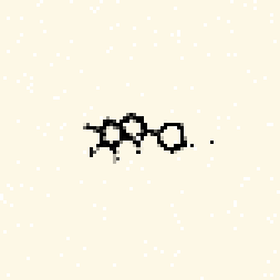 CC1=CCC(c2ccc3cc(C)c(F)c(F)c3c2F)CC1